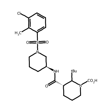 Cc1c(Cl)cccc1S(=O)(=O)N1CCC[C@H](NC(=O)[C@H]2CCCN(C(=O)O)C2C(C)(C)C)C1